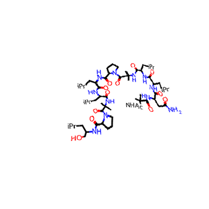 CC(=O)NC(C)(C)C(=O)NC(CC(N)=O)C(=O)NC(CC(C)C)C(=O)NC(CC(C)C)C(=O)NC(C)(C)C(=O)N1CCCC1C(=O)NC(CC(C)C)C(=O)NC(CC(C)C)C(=O)NC(C)(C)C(=O)N1CCCC1C(=O)NC(CO)CC(C)C